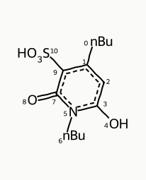 CCCCc1cc(O)n(CCCC)c(=O)c1S(=O)(=O)O